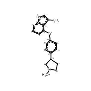 Cc1c[nH]c2nccc(Oc3ccc(C4CCN(C)C4)cc3)c12